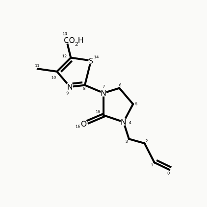 C=CCCN1CCN(c2nc(C)c(C(=O)O)s2)C1=O